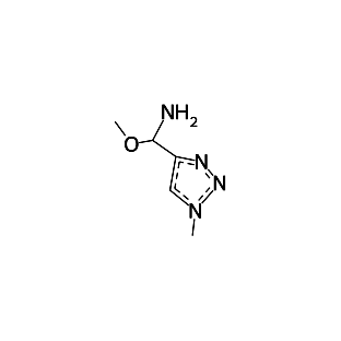 COC(N)c1cn(C)nn1